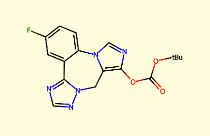 CC(C)(C)OC(=O)Oc1ncn2c1Cn1ncnc1-c1cc(F)ccc1-2